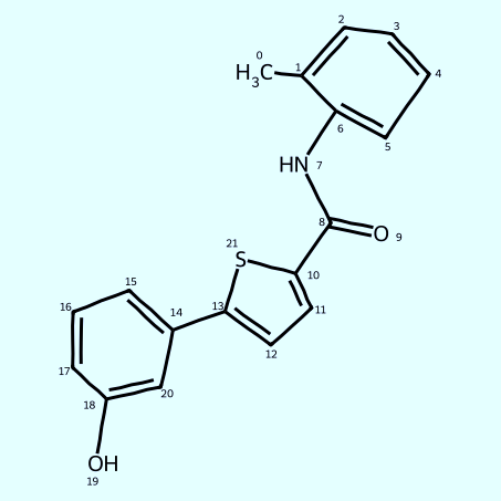 Cc1ccccc1NC(=O)c1ccc(-c2cccc(O)c2)s1